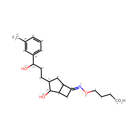 O=C(O)CCCON=C1CC2C1CC(CCC(O)c1cccc(C(F)(F)F)c1)C2O